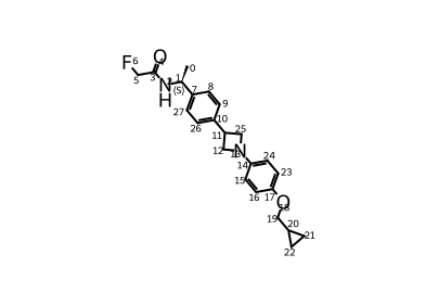 C[C@H](NC(=O)CF)c1ccc(C2CN(c3ccc(OCC4CC4)cc3)C2)cc1